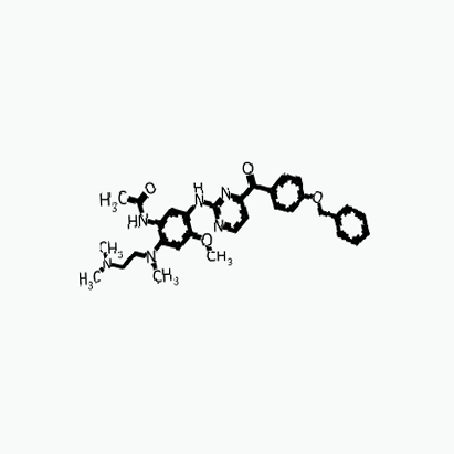 COc1cc(N(C)CCN(C)C)c(NC(C)=O)cc1Nc1nccc(C(=O)c2ccc(OCc3ccccc3)cc2)n1